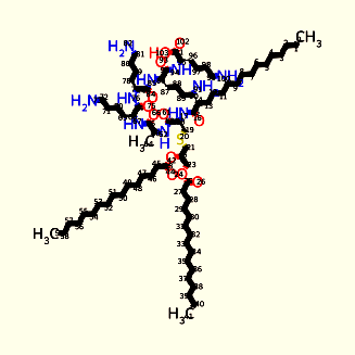 CCCCCCCCCCCCCCCC(=O)N[C@@H](CSCC(COC(=O)CCCCCCCCCCCCCCC)OC(=O)CCCCCCCCCCCCCCC)C(=O)N[C@@H](C)C(=O)N[C@@H](CCCCN)C(=O)N[C@@H](CCCCN)C(=O)N[C@@H](CCCCN)C(=O)N[C@@H](CCCCN)C(=O)O